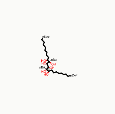 CCCCCCCCCCCCCCCCCCC(O)[C@](O)(CCCC)[C@@H](O)[C@H](O)[C@@](O)(CCCC)C(O)CCCCCCCCCCCCCCCCCC